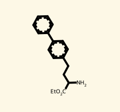 CCOC(=O)C(N)CCc1ccc(-c2ccccc2)cc1